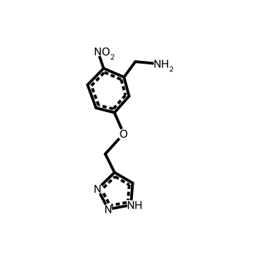 NCc1cc(OCc2c[nH]nn2)ccc1[N+](=O)[O-]